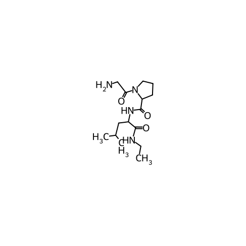 CCNC(=O)C(CC(C)C)NC(=O)C1CCCN1C(=O)CN